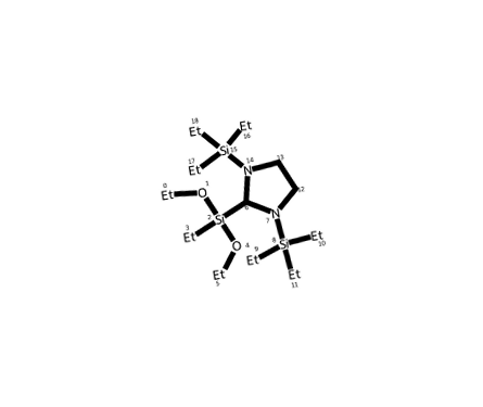 CCO[Si](CC)(OCC)C1N([Si](CC)(CC)CC)CCN1[Si](CC)(CC)CC